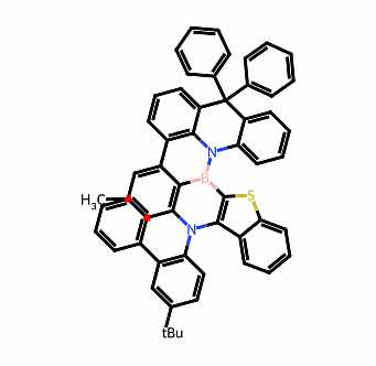 Cc1cc2c3c(c1)N(c1ccc(C(C)(C)C)cc1-c1ccccc1)c1c(sc4ccccc14)B3N1c3ccccc3C(c3ccccc3)(c3ccccc3)c3cccc-2c31